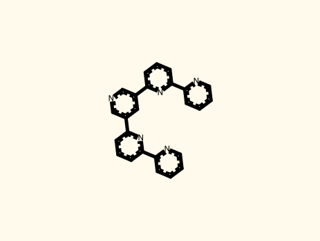 c1ccc(-c2cccc(-c3cncc(-c4cccc(-c5ccccn5)n4)c3)n2)nc1